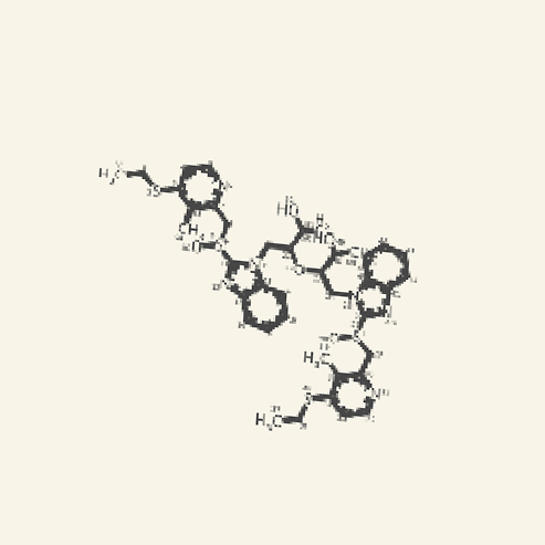 CCSc1ccnc(C[S+]([O-])c2nc3ccccc3n2CC(OC(Cn2c([S+]([O-])Cc3nccc(SCC)c3C)nc3ccccc32)C(C)O)C(C)O)c1C